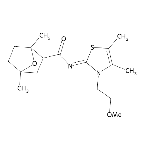 COCCn1c(C)c(C)sc1=NC(=O)C1CC2(C)CCC1(C)O2